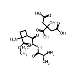 COC(=O)C1(N)CCC1C(=O)[C@H](C)NC(=O)[C@H](C)N.O=C(O)CC(O)(CC(=O)O)C(=O)O